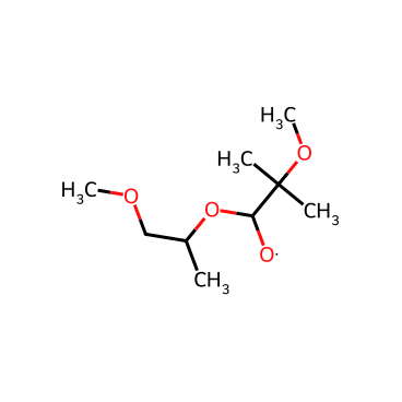 COCC(C)OC([O])C(C)(C)OC